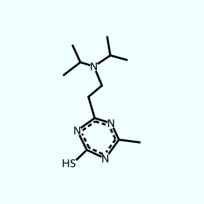 Cc1nc(S)nc(CCN(C(C)C)C(C)C)n1